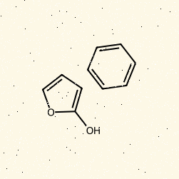 Oc1ccco1.c1ccccc1